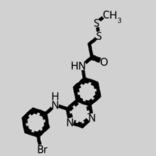 CSSCC(=O)Nc1ccc2ncnc(Nc3cccc(Br)c3)c2c1